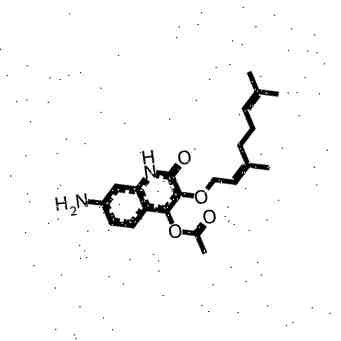 CC(=O)Oc1c(OCC=C(C)CCC=C(C)C)c(=O)[nH]c2cc(N)ccc12